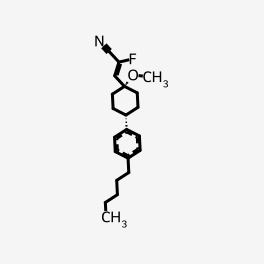 CCCCCc1ccc([C@H]2CC[C@@](C=C(F)C#N)(OC)CC2)cc1